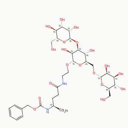 O=C(CC[C@H](NC(=O)OCc1ccccc1)C(=O)O)NCCO[C@H]1O[C@H](CO[C@H]2O[C@H](CO)[C@@H](O)[C@H](O)[C@@H]2O)[C@@H](O)[C@H](O[C@H]2O[C@H](CO)[C@@H](O)[C@H](O)[C@@H]2O)[C@@H]1O